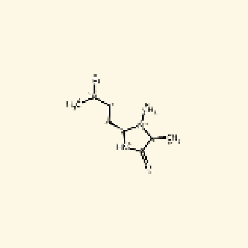 CCN(C)CC[C@@H]1NC(=O)[C@H](C)N1C